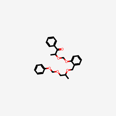 CC(COCOc1ccccc1)OCc1ccccc1OCOC(C)C(=O)c1ccccc1